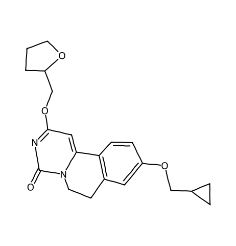 O=c1nc(OCC2CCCO2)cc2n1CCc1cc(OCC3CC3)ccc1-2